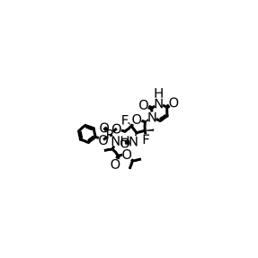 CC(C)OC(=O)C(C)NP(=O)(OC[C@@]1(F)O[C@@H](n2ccc(=O)[nH]c2=O)[C@](C)(F)[C@@H]1N=O)Oc1ccccc1